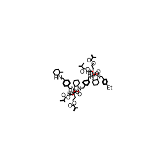 C=C(C)C(=O)OCCNC(=O)N(Cc1ccc(CC)cc1)C1CCCCC1N(Cc1ccc(CN(C(=O)NCCOC(=O)C(=C)C)C2CCCCC2N(Cc2ccc(CNC3CCCCC3C)cc2)C(=O)NCCOC(=O)C(=C)C)cc1)C(=O)NCCOC(=O)C(=C)C